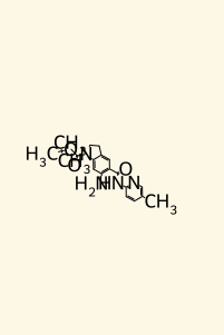 Cc1ccc(NC(=O)c2cc3c(cc2N)N(C(=O)OC(C)(C)C)CC3)nc1